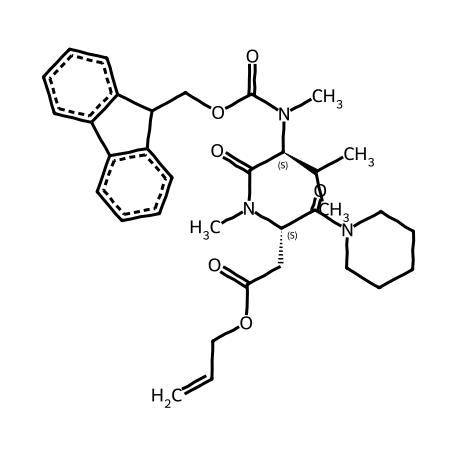 C=CCOC(=O)C[C@@H](C(=O)N1CCCCC1)N(C)C(=O)[C@H](C(C)C)N(C)C(=O)OCC1c2ccccc2-c2ccccc21